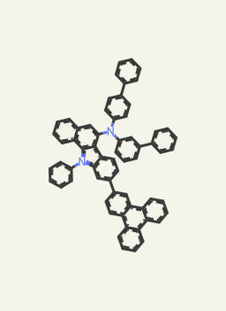 c1ccc(-c2ccc(N(c3cccc(-c4ccccc4)c3)c3cc4ccccc4c4c3c3ccc(-c5ccc6c7ccccc7c7ccccc7c6c5)cc3n4-c3ccccc3)cc2)cc1